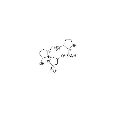 O=C(O)[C@@H]1CC(O)CN1.O=C(O)[C@@H]1CCC(O)N1.O=C(O)[C@H]1NCCC1O